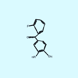 CCCc1cc(C(=O)c2ccccc2F)ccc1O